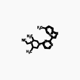 CC1CN(c2ccnc(-c3cnc4ccc(C(F)(F)F)cn34)n2)CC(C)N1CC#N